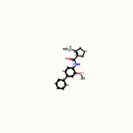 CCOc1cc(-c2ccccc2)ccc1NC(=O)C1=C(C(=O)O)CCC1